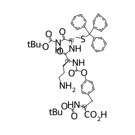 CC(C)(C)OC(=O)NC(=O)[C@H](CSC(c1ccccc1)(c1ccccc1)c1ccccc1)NC(=O)[C@H](CCCN)NC(=O)Oc1ccc(C[C@H](NC(=O)OC(C)(C)C)C(=O)O)cc1